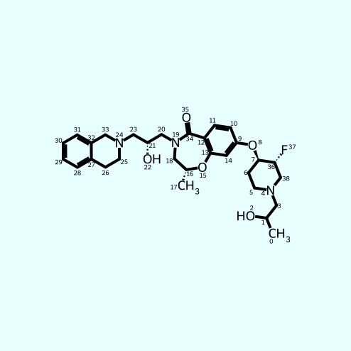 CC(O)CN1CC[C@@H](Oc2ccc3c(c2)O[C@H](C)CN(C[C@H](O)CN2CCc4ccccc4C2)C3=O)[C@H](F)C1